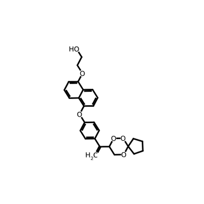 C=C(c1ccc(Oc2cccc3c(OCCO)cccc23)cc1)C1COC2(CCCC2)OO1